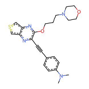 CN(C)c1ccc(C#Cc2nc3cscc3nc2OCCCN2CCOCC2)cc1